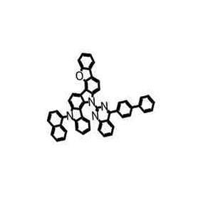 c1ccc(-c2ccc(-c3nc(-n4c5ccc6c7ccccc7oc6c5c5ccc6c(c7ccccc7n6-c6cccc7ccccc67)c54)nc4ccccc34)cc2)cc1